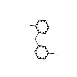 Clc1cccc(Cc2ccccc2Br)c1